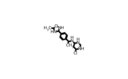 CC1NC(c2ccc(C(C)NC3CC(Cl)NCN3)cc2)NO1